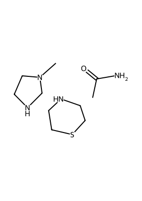 C1CSCCN1.CC(N)=O.CN1CCNC1